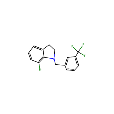 FC(F)(F)c1cccc(CN2CCc3cccc(Br)c32)c1